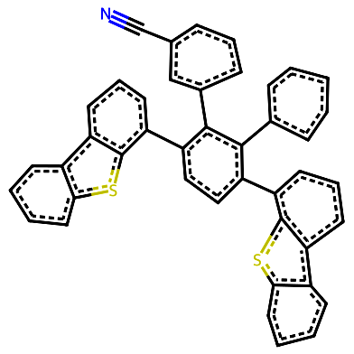 N#Cc1cccc(-c2c(-c3cccc4c3sc3ccccc34)ccc(-c3cccc4c3sc3ccccc34)c2-c2ccccc2)c1